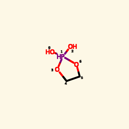 O[PH]1(O)OCCO1